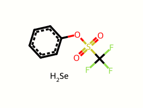 O=S(=O)(Oc1ccccc1)C(F)(F)F.[SeH2]